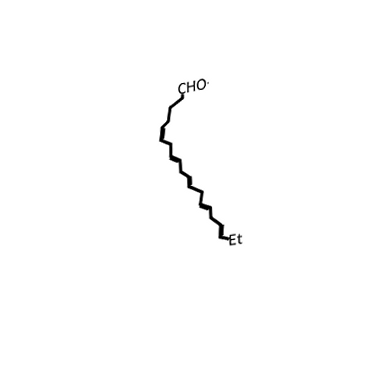 CCC=CCC=CCC=CCC=CC/C=C\CCC[C]=O